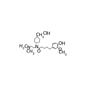 COc1cc(CCCCC(=O)N(CCN(C)C)[C@H]2CC[C@H](C)CC2)ccc1O.Cl